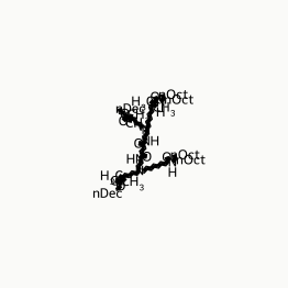 CCCCCCCCCCCOC(=O)C(C)(C)CCCCN(CCCCCCCC(=O)NC(CCCCCCCC)CCCCCCCC)CCNC(=O)CCC(=O)NCCN(CCCCCCC(C)(C)C(=O)NC(CCCCCCCC)CCCCCCCC)CCCCC(C)(C)C(=O)OCCCCCCCCCCC